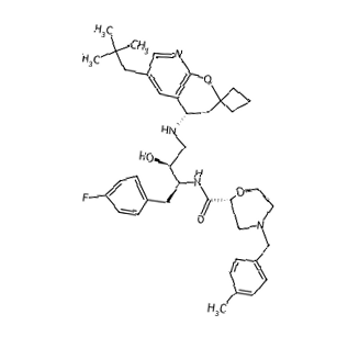 Cc1ccc(CN2CCO[C@@H](C(=O)N[C@@H](Cc3ccc(F)cc3)[C@@H](O)CN[C@H]3CC4(CCC4)Oc4ncc(CC(C)(C)C)cc43)C2)cc1